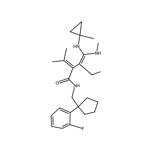 CC/C(C(C(=O)NCC1(c2ccccc2F)CCCC1)=C(C)C)=C(\NC)NC1(C)CC1